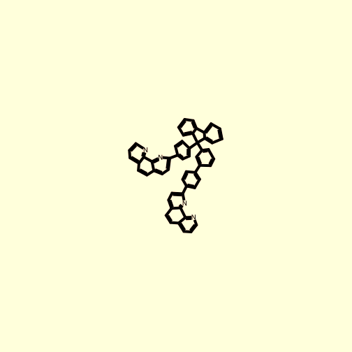 c1cc(-c2ccc(-c3ccc4ccc5cccnc5c4n3)cc2)cc(C2(c3ccc(-c4ccc5ccc6cccnc6c5n4)cc3)c3ccccc3-c3ccccc32)c1